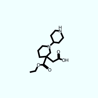 CCOC(=O)C1(CC(=O)O)CCCN(C2CCNCC2)C1